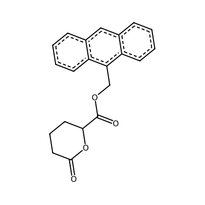 O=C1CCCC(C(=O)OCc2c3ccccc3cc3ccccc23)O1